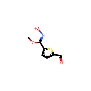 COC(=NO)c1ccc(C=O)s1